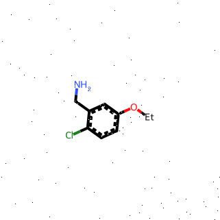 CCOc1[c]cc(Cl)c(CN)c1